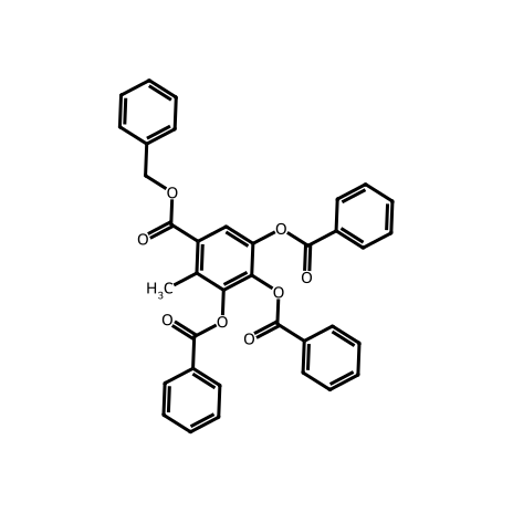 Cc1c(C(=O)OCc2ccccc2)cc(OC(=O)c2ccccc2)c(OC(=O)c2ccccc2)c1OC(=O)c1ccccc1